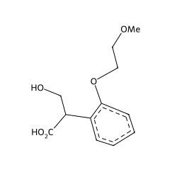 COCCOc1ccccc1C(CO)C(=O)O